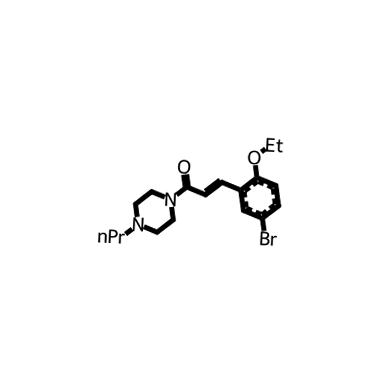 CCCN1CCN(C(=O)C=Cc2cc(Br)ccc2OCC)CC1